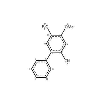 COc1cc(C#N)c(-c2ccccc2)cc1C(F)(F)F